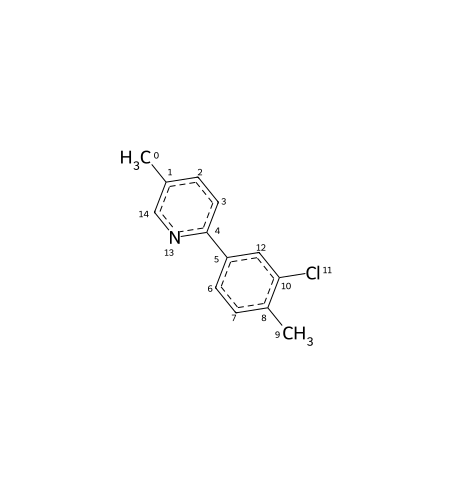 Cc1ccc(-c2ccc(C)c(Cl)c2)nc1